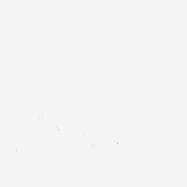 CCCCc1nnc(C(=O)N[C@@H]2CN3CCC2CC3)cc1-c1ccc(OC2CCCCC2)cc1